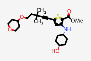 COC(=O)c1sc(C#CC(C)(C)CCOC2CCOCC2)cc1N[C@H]1CC[C@H](O)CC1